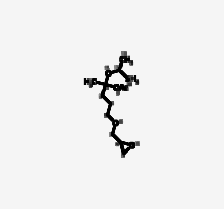 CC(=O)OC(C)(CCCOCC1CO1)OC(C)[SiH3]